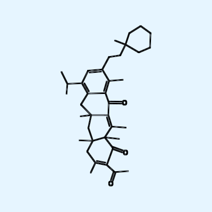 CC(=O)C1=C(C)CC2(C)CC3(C)Cc4c(C(C)C)cc(CCC5(C)CCCCC5)c(C)c4C(=O)C3=C(C)C2(C)C1=O